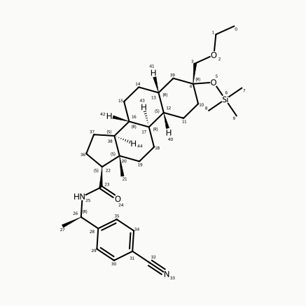 CCOC[C@@]1(O[Si](C)(C)C)CC[C@H]2[C@H](CC[C@@H]3[C@@H]2CC[C@]2(C)[C@@H](C(=O)N[C@H](C)c4ccc(C#N)cc4)CC[C@@H]32)C1